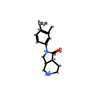 Cc1cc(N2CC3CNCCC3C2=O)ccc1C(=O)O